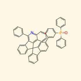 O=P(c1ccccc1)(c1ccccc1)c1cccc(-c2ccc3c(c2)C2(c4ccccc4-3)c3ccccc3-c3c(-c4ccccc4)nc4ccccc4c32)c1